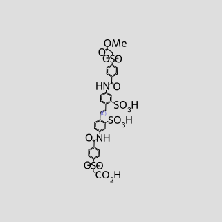 COC(=O)CS(=O)(=O)c1ccc(C(=O)Nc2ccc(/C=C/c3ccc(NC(=O)c4ccc(S(=O)(=O)CC(=O)O)cc4)cc3S(=O)(=O)O)c(S(=O)(=O)O)c2)cc1